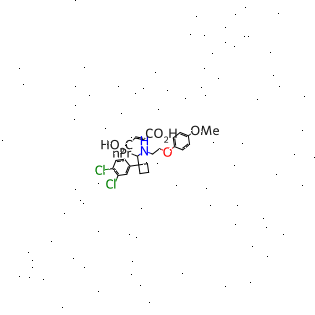 CCCC(NCCOc1ccc(OC)cc1)C1(c2ccc(Cl)c(Cl)c2)CCC1.O=C(O)C=CC(=O)O